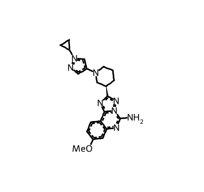 COc1ccc2c(c1)nc(N)n1nc([C@@H]3CCCN(c4cnn(C5CC5)c4)C3)nc21